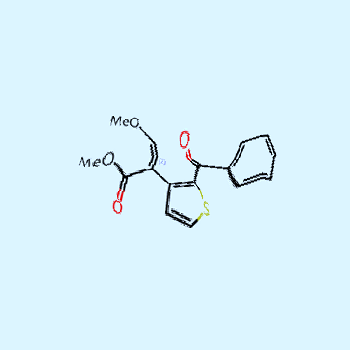 CO/C=C(\C(=O)OC)c1ccsc1C(=O)c1ccccc1